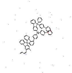 C=C/C=C\c1cc2c(cc1C)C1(c3ccccc3-2)c2ccccc2-c2c(-c3ccc(N(c4ccc(-c5ccccc5)cc4)c4ccc5c(c4)C(c4ccccc4)(c4ccc(-c6ccccc6)cc4)c4ccccc4-5)cc3)cccc21